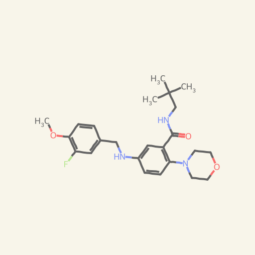 COc1ccc(CNc2ccc(N3CCOCC3)c(C(=O)NCC(C)(C)C)c2)cc1F